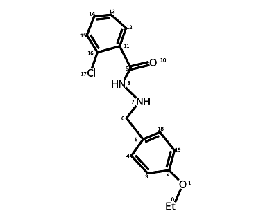 CCOc1ccc(CNNC(=O)c2ccccc2Cl)cc1